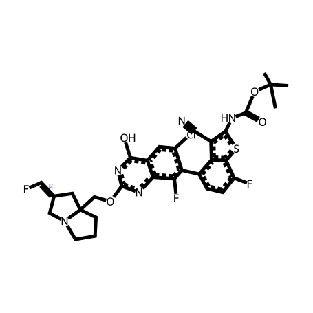 CC(C)(C)OC(=O)Nc1sc2c(F)ccc(-c3c(Cl)cc4c(O)nc(OCC56CCCN5C/C(=C\F)C6)nc4c3F)c2c1C#N